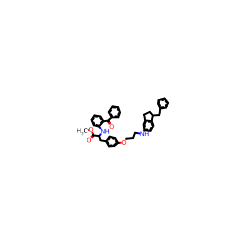 COC(=O)C(Cc1ccc(OCCCNc2ccc3c(c2)CCC3Cc2ccccc2)cc1)Nc1ccccc1C(=O)c1ccccc1